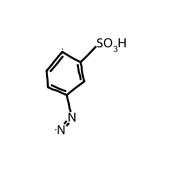 [N]=Nc1cc[c]c(S(=O)(=O)O)c1